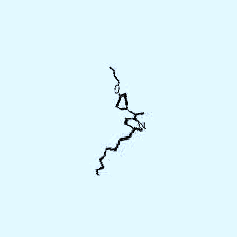 CCCCCCCCCc1ccc(C(C)c2ccc(OCCCC)cc2)nc1